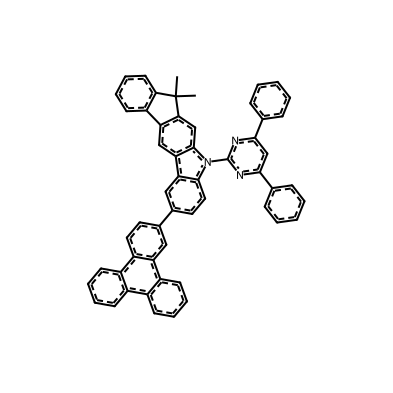 CC1(C)c2ccccc2-c2cc3c4cc(-c5ccc6c7ccccc7c7ccccc7c6c5)ccc4n(-c4nc(-c5ccccc5)cc(-c5ccccc5)n4)c3cc21